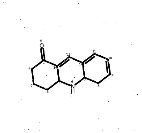 O=C1CCCC2NC3CC=CC=C3C=C12